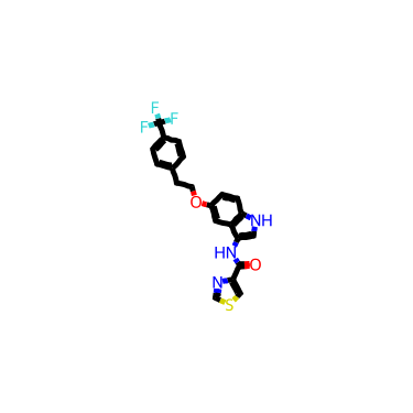 O=C(Nc1c[nH]c2ccc(OCCc3ccc(C(F)(F)F)cc3)cc12)c1cscn1